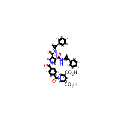 O=C(O)[C@@H]1C[C@H](C(=O)O)CN(C(=O)c2ccc(C(=O)N3C[C@@H](C(=O)N[C@H]4C[C@@H]4c4ccccc4)[C@H](C(=O)N[C@H]4C[C@@H]4c4ccccc4)C3)cc2)C1